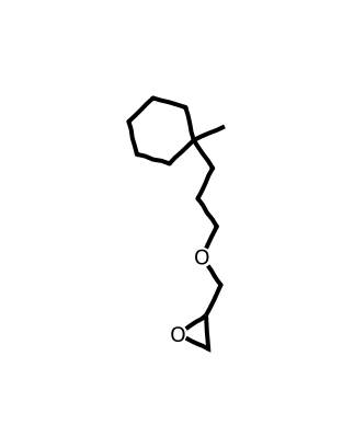 CC1(CCCOCC2CO2)CCCCC1